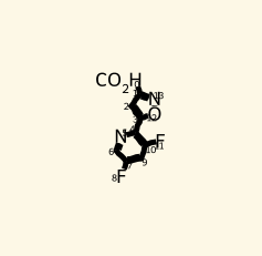 O=C(O)c1cc(-c2ncc(F)cc2F)on1